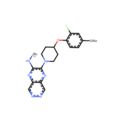 CC[C@H](C)Nc1nc2cnncc2nc1N1CCC(Oc2ccc(OC)cc2F)CC1